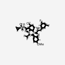 COc1ccc2c(=O)n(-c3ccc(Cl)c4c(NS(=O)(=O)C5CC5)nn(CC(F)F)c34)c([C@@H](N)Cc3cc(F)cc(F)c3)nc2c1